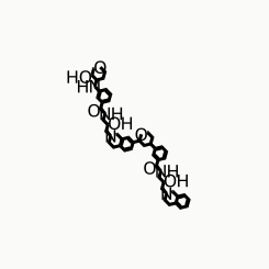 O=C(NCC(O)CN1CCc2ccccc2C1)c1cccc(C2CCOC(c3ccc4c(c3)CN(CC(O)CNC(=O)c3cccc(NC5CCOCC5O)c3)CC4)C2)c1